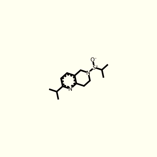 CC(C)c1ccc2c(n1)CCN([S+]([O-])C(C)C)C2